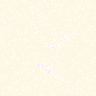 N=C(N)c1ccc2cc(C(=O)NC3CCCCC3)n(Cc3cc(Sc4ccccc4)cc4ccccc34)c2c1